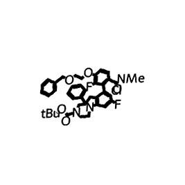 CNC(=O)c1ccc(OCCOCc2ccccc2)c(F)c1-c1c(Cl)c(F)cc2c1CC1(c3ccccc3)CN(C(=O)OC(C)(C)C)CCN21